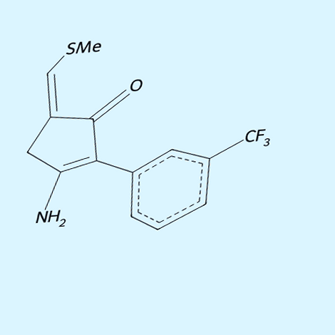 CSC=C1CC(N)=C(c2cccc(C(F)(F)F)c2)C1=O